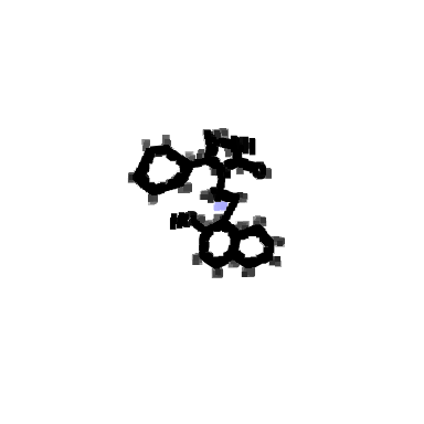 O=c1[nH]nc(-c2ccccc2)n1/N=C/c1c(O)ccc2ccccc12